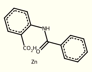 O=C(Nc1ccccc1C(=O)O)c1ccccc1.[Zn]